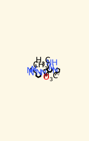 CCn1cnnc1-c1cccc(N2Cc3c(cc(N4CCC[C@H]4C)nc3CNC)C2=O)n1